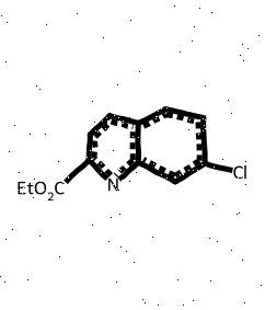 CCOC(=O)c1ccc2ccc(Cl)cc2n1